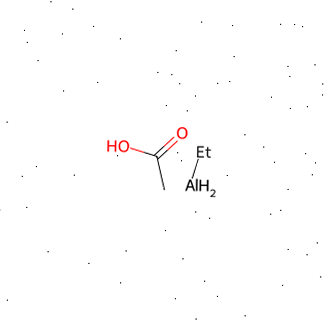 CC(=O)O.C[CH2][AlH2]